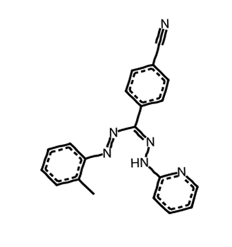 Cc1ccccc1N=NC(=NNc1ccccn1)c1ccc(C#N)cc1